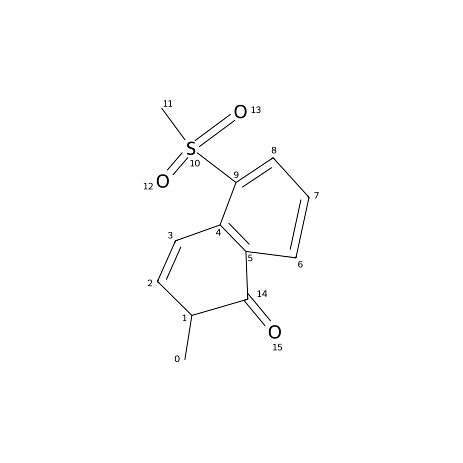 CC1C=Cc2c(cccc2S(C)(=O)=O)C1=O